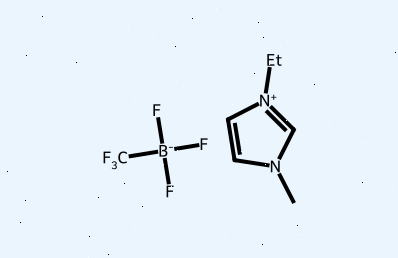 CC[n+]1ccn(C)c1.F[B-](F)(F)C(F)(F)F